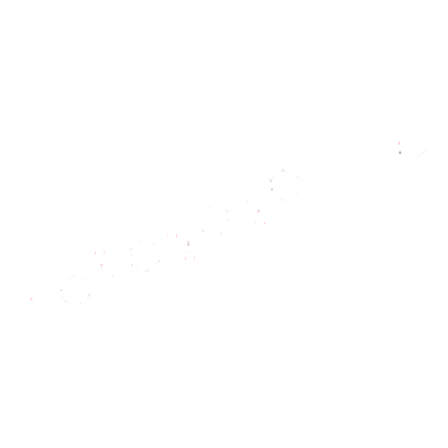 C=CC(=O)OCCCCOc1ccc(C(=O)Oc2ccc(C(=O)Oc3ccc(OC(=O)c4ccc(OC(C)=O)cc4)cc3)cc2)cc1